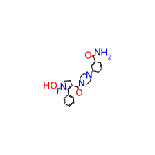 CC(O)n1ccc(C(=O)N2CCN(c3cccc(C(N)=O)c3)CC2)c1-c1ccccc1